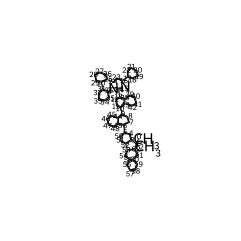 CC1(C)c2cc(-c3ccc(-c4ccc(-c5nc(-c6ccccc6)cc(-c6ccccc6-c6ccccc6)n5)c5ccccc45)c4ccccc34)ccc2-c2cc3ccccc3cc21